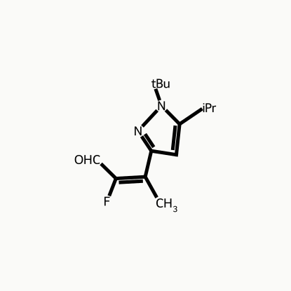 C/C(=C(\F)C=O)c1cc(C(C)C)n(C(C)(C)C)n1